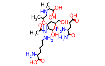 CC(=O)N[C@@H]1[C@@H](OC(C)CN[C@@H](C)C(=O)O)[C@H](O)[C@@H](CO)O[C@@H]1O.NC(=O)[C@H](N)CCC(=O)O.NCCCC[C@H](N)C(=O)O